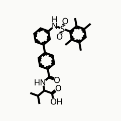 Cc1cc(C)c(C)c(S(=O)(=O)Nc2cccc(-c3ccc(C(=O)NC(C(=O)O)C(C)C)cc3)c2)c1C